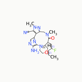 C/C=C\C(F)=C/C1C(=O)N(C)Cc2nn(C)c(C#N)c2-c2cnc(N)c(n2)N2CCOC[C@H]12